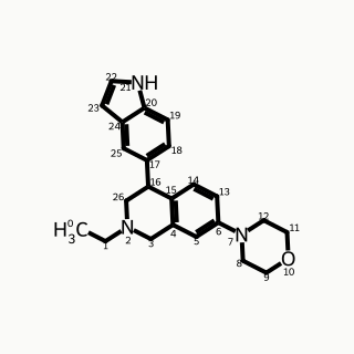 CCN1Cc2cc(N3CCOCC3)ccc2C(c2ccc3[nH]ccc3c2)C1